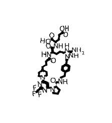 N#Cc1ccc(CCNC(=O)[C@@H]2CCCN2c2cc(N3CCC(CCCC(=O)NC(CCCNC(=N)N)C(=O)NC(CCC(=O)O)C(=O)O)CC3)nc(C(F)(F)F)n2)cc1